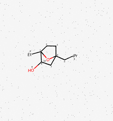 CCC12CCC(CC(C)C)(CC1O)O2